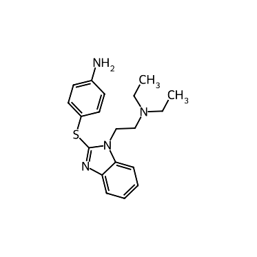 CCN(CC)CCn1c(Sc2ccc(N)cc2)nc2ccccc21